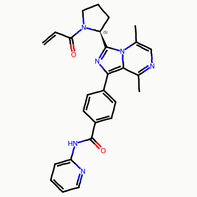 C=CC(=O)N1CCC[C@H]1c1nc(-c2ccc(C(=O)Nc3ccccn3)cc2)c2c(C)ncc(C)n12